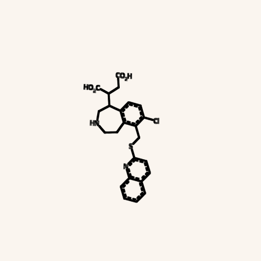 O=C(O)CC(C(=O)O)C1CNCCc2c1ccc(Cl)c2CSc1ccc2ccccc2n1